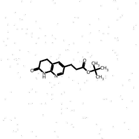 CC(C)(C)OC(=O)CCc1cnc2c(c1)CCC(=O)N2